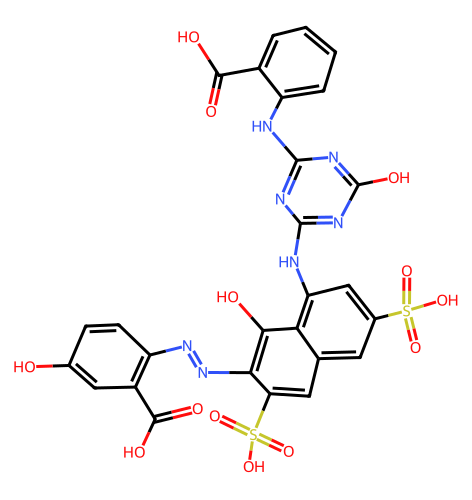 O=C(O)c1cc(O)ccc1N=Nc1c(S(=O)(=O)O)cc2cc(S(=O)(=O)O)cc(Nc3nc(O)nc(Nc4ccccc4C(=O)O)n3)c2c1O